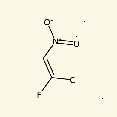 O=[N+]([O-])C=C(F)Cl